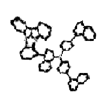 c1ccc2c(-c3ccc(N(c4ccc(-c5cccc6ccccc56)cc4)c4ccc(-c5cccc6c5n5c7ccccc7c7c8ccccc8n6c75)c5ccccc45)cc3)cccc2c1